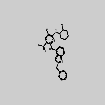 NC(=O)c1cc(F)c(NC2CCCCC2N)nc1Nc1cccc2nn(Cc3ccccc3)cc12